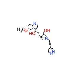 COc1ccc2nccc([C@H](O)CC[C@@H]3CCN(CC#Cc4ccnnc4)C[C@@H]3CO)c2c1